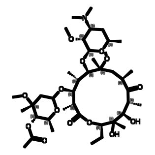 CC[C@H]1OC(=O)[C@H](C)[C@@H](OC2C[C@@](C)(OC)[C@@H](OC(C)=O)[C@H](C)O2)[C@H](C)[C@@H](O[C@@H]2O[C@H](C)C[C@H](N(C)C)[C@H]2OC)[C@](C)(OC)C[C@@H](C)C(=O)[C@H](C)[C@@H](O)[C@]1(C)O